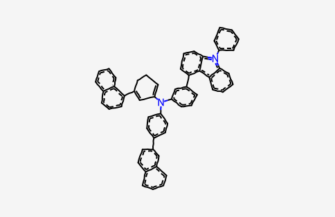 C1=C(c2cccc3ccccc23)CCC=C1N(c1ccc(-c2ccc3ccccc3c2)cc1)c1cccc(-c2cccc3c2c2ccccc2n3-c2ccccc2)c1